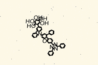 Oc1c(O)c(O)c(-c2ccc3c(c2)c2ccccc2n3-c2cc(-c3ccccc3)c3c(c2)oc2cc(-c4nc(-c5ccccc5)nc(-c5ccccc5)n4)ccc23)c(O)c1O